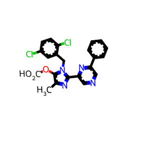 Cc1nc(-c2cncc(-c3ccccc3)n2)n(Cc2cc(Cl)ccc2Cl)c1OC(=O)O